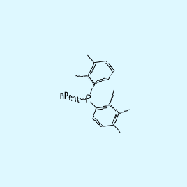 CCCCCP(c1cccc(C)c1C)c1ccc(C)c(C)c1C